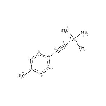 Cc1ccc(C#CC(C)(C)N)cc1